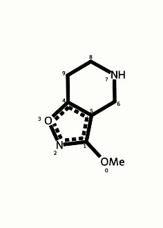 COc1noc2c1CNCC2